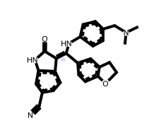 CN(C)Cc1ccc(N/C(=C2\C(=O)Nc3cc(C#N)ccc32)c2ccc3c(c2)CCO3)cc1